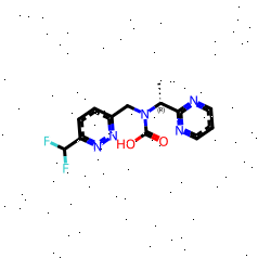 C[C@H](c1ncccn1)N(Cc1ccc(C(F)F)nn1)C(=O)O